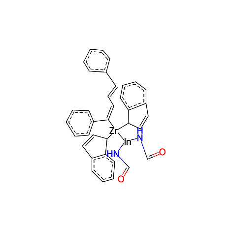 O=C[NH][In]([NH]C=O)[Zr]([C](=CC=Cc1ccccc1)c1ccccc1)([CH]1C=Cc2ccccc21)[CH]1C=Cc2ccccc21